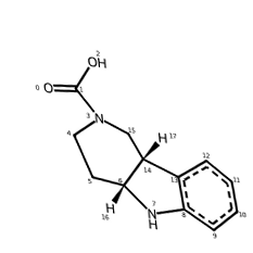 O=C(O)N1CC[C@H]2Nc3ccccc3[C@H]2C1